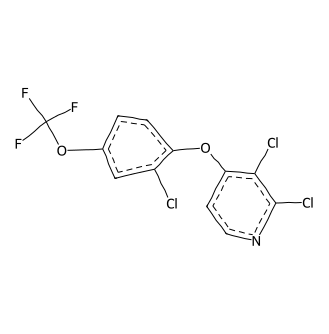 FC(F)(F)Oc1ccc(Oc2ccnc(Cl)c2Cl)c(Cl)c1